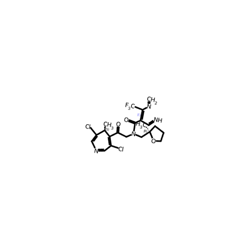 C=N/C(=C(\C=N)C(=O)N(CC(=O)C1=C(Cl)C=NC=C(Cl)[C@H]1C)C[C@@]1(C)CCCO1)C(F)(F)F